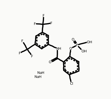 O=C(Nc1cc(C(F)(F)F)cc(C(F)(F)F)c1)c1cc(Cl)ccc1OP(=O)(O)O.[NaH].[NaH]